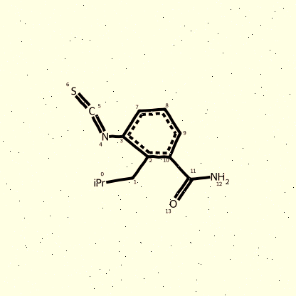 CC(C)Cc1c(N=C=S)cccc1C(N)=O